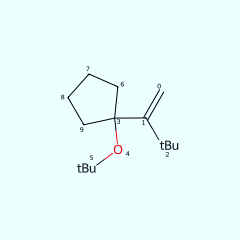 C=C(C(C)(C)C)C1(OC(C)(C)C)CCCC1